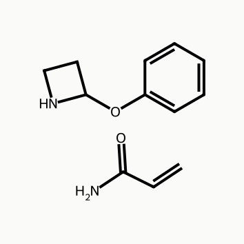 C=CC(N)=O.c1ccc(OC2CCN2)cc1